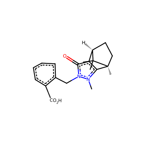 Cn1c2c(c(=O)n1Cc1ccccc1C(=O)O)[C@H]1CC[C@]2(C)C1(C)C